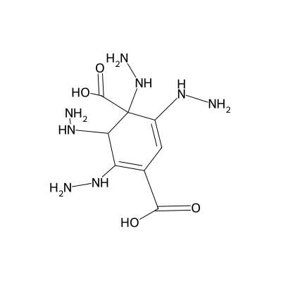 NNC1=CC(C(=O)O)=C(NN)C(NN)C1(NN)C(=O)O